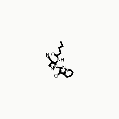 CCCCC(=O)Nc1c(C#N)cnn1-c1nn2c(c1Cl)CCCC2